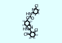 O=C(Nc1cccc(Cl)n1)Oc1ccc2[nH]c(-c3c(Cl)cccc3Cl)nc2c1